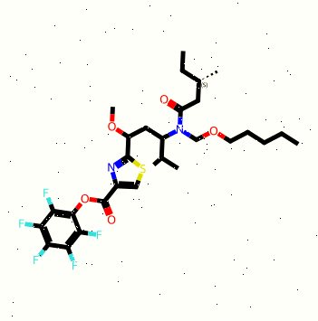 CCCCCOCN(C(=O)C[C@@H](C)CC)C(CC(OC)c1nc(C(=O)Oc2c(F)c(F)c(F)c(F)c2F)cs1)C(C)C